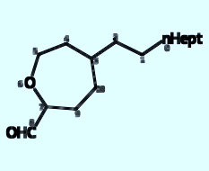 CCCCCCCCCC1CCOC(C=O)CC1